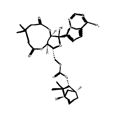 CC1(C)CC(=O)O[C@H]2[C@@H](OC(=O)C1)[C@](C#N)(c1ccc3c(N)ncnn13)O[C@@H]2COC(=O)O[C@H]1C(C)(C)[C@H]2CC[C@@]1(C)C2